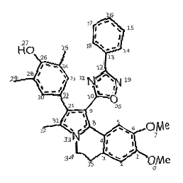 COc1cc2c(cc1OC)-c1c(-c3nc(-c4ccccc4)no3)c(-c3cc(C)c(O)c(C)c3)c(C)n1CC2